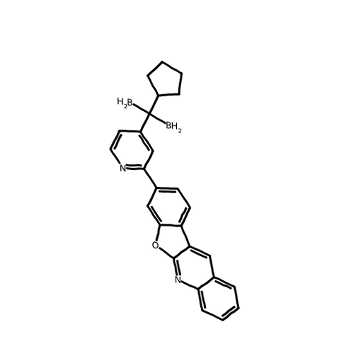 BC(B)(c1ccnc(-c2ccc3c(c2)oc2nc4ccccc4cc23)c1)C1CCCC1